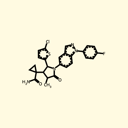 CC1C(=O)N(c2ccc3c(cnn3-c3ccc(F)cc3)c2)C(c2ccc(Cl)s2)C1C1(C(N)=O)CC1